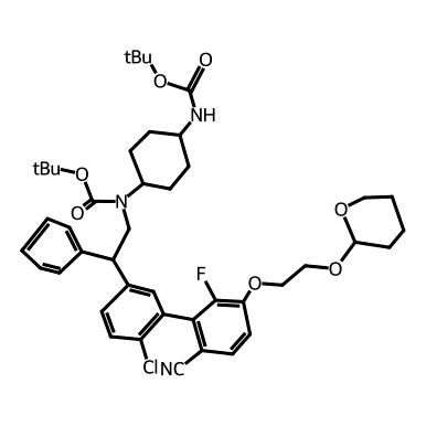 CC(C)(C)OC(=O)NC1CCC(N(CC(c2ccccc2)c2ccc(Cl)c(-c3c(C#N)ccc(OCCOC4CCCCO4)c3F)c2)C(=O)OC(C)(C)C)CC1